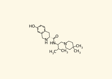 CC(C)C(CN1CCC(C)(C)CC1)NC(=O)[C@H]1Cc2ccc(O)cc2CN1